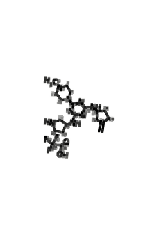 CN1CCN(c2nc(NC3CCNC3)nc(N[C@@H]3CCNC3)n2)CC1.O=C(O)C(F)(F)F